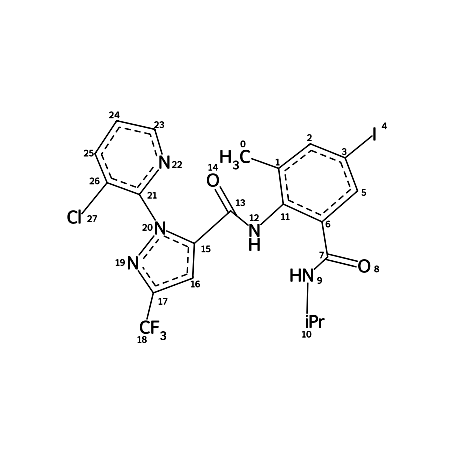 Cc1cc(I)cc(C(=O)NC(C)C)c1NC(=O)c1cc(C(F)(F)F)nn1-c1ncccc1Cl